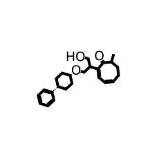 CC1CC/C=C\C=C(\C(CO)CO[C@H]2CC[C@@H](c3ccccc3)CC2)C1=O